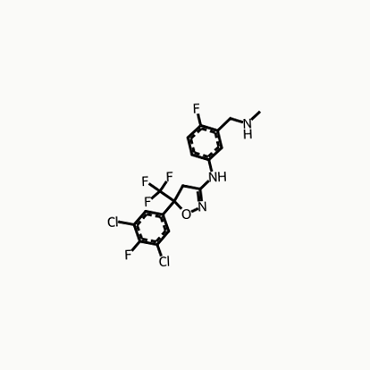 CNCc1cc(NC2=NOC(c3cc(Cl)c(F)c(Cl)c3)(C(F)(F)F)C2)ccc1F